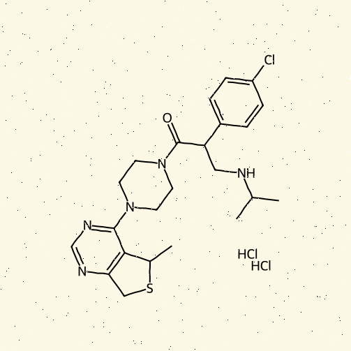 CC(C)NCC(C(=O)N1CCN(c2ncnc3c2C(C)SC3)CC1)c1ccc(Cl)cc1.Cl.Cl